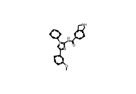 COc1cccc(-c2cn(-c3ccccc3)c(NC(=O)c3ccc4c(c3)CNC4)n2)c1